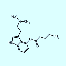 CCCCC(=O)Oc1cccc2[nH]cc(CCN(C)C)c12